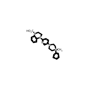 C[Si]1(c2ccccc2)CCN(c2ccc(N3CCN(C(=O)O)c4ccccc43)nc2)CC1